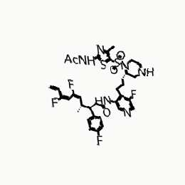 C=C/C(F)=C\C(F)=C/[C@@H](C)[C@@H](CC(=O)Nc1cncc(F)c1CCC[C@H]1CNCCN1S(=O)(=O)c1sc(NC(C)=O)nc1C)c1ccc(F)cc1